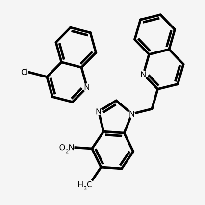 Cc1ccc2c(ncn2Cc2ccc3ccccc3n2)c1[N+](=O)[O-].Clc1ccnc2ccccc12